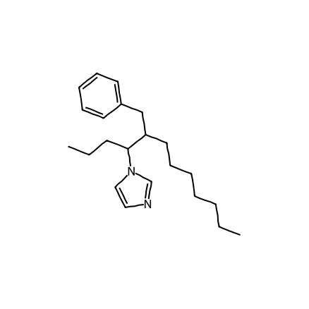 CCCCCCCC(Cc1ccccc1)C(CCC)n1ccnc1